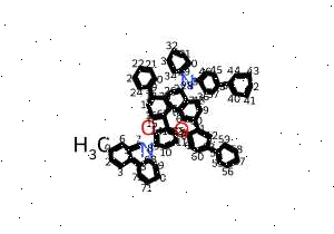 Cc1ccc2c(c1)=CN(c1cccc3c1oc1cc(-c4ccccc4)c4cc(N(c5ccccc5)c5ccc(-c6ccccc6)cc5)c5ccc6c7cc(-c8ccccc8)ccc7oc6c5c4c13)C1C=CC=CC=21